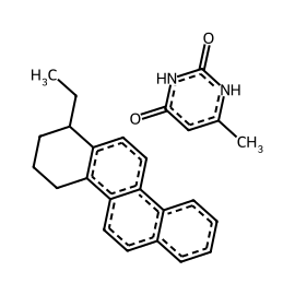 CCC1CCCc2c1ccc1c2ccc2ccccc21.Cc1cc(=O)[nH]c(=O)[nH]1